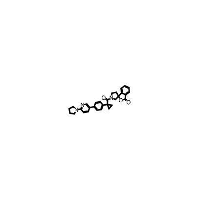 O=C1OC2(CCN(C(=O)C3(c4ccc(-c5ccc(N6CCCC6)nc5)cc4)CC3)C2)c2ccccc21